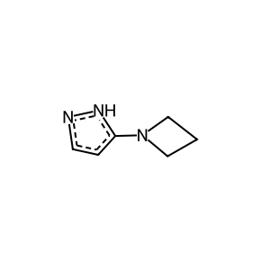 c1cc(N2CCC2)[nH]n1